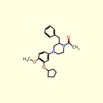 COc1ccc(N2CCN(C(C)=O)C(Cc3ccccc3)C2)cc1OC1CCCC1